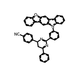 N#Cc1ccc(C2CC(c3ccccc3)=NC(c3cccc(-n4c5ccccc5c5cc6oc7ccccc7c6cc54)c3)=N2)cc1